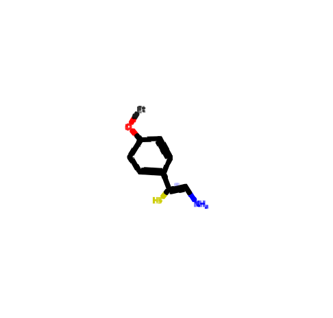 CCOC1C=CC(/C(S)=C/N)=CC1